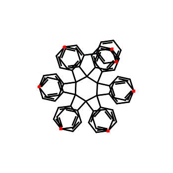 c1ccc(-c2ccccc2C2(c3ccccc3)C(c3ccccc3)(c3ccccc3)C(c3ccccc3)(c3ccccc3)C(c3ccccc3)(c3ccccc3)C(c3ccccc3)(c3ccccc3)C2(c2ccccc2)c2ccccc2)cc1